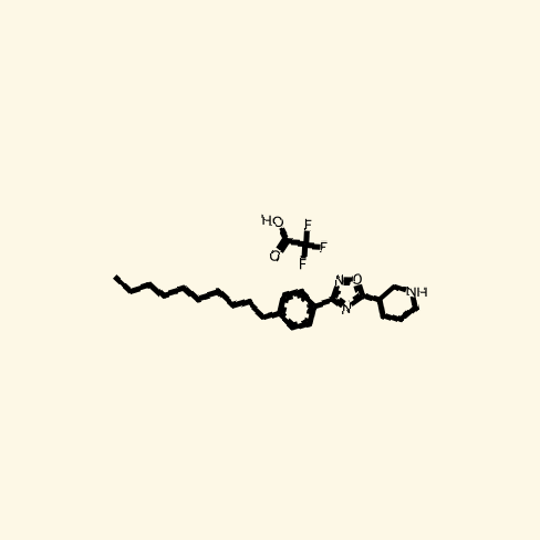 CCCCCCCCCCc1ccc(-c2noc(C3CCCNC3)n2)cc1.O=C(O)C(F)(F)F